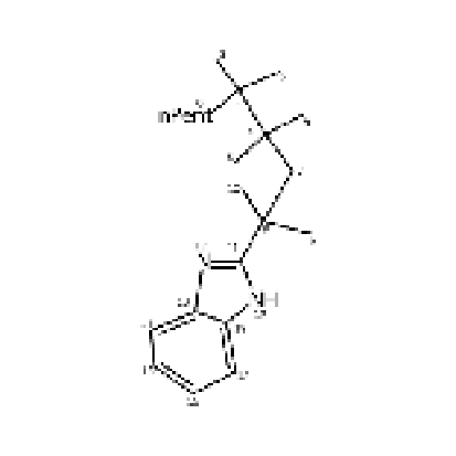 CCCCCC(C)(C)C(C)(C)CC(C)(C)c1nc2ccccc2[nH]1